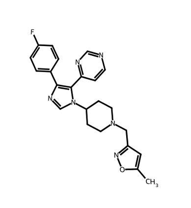 Cc1cc(CN2CCC(n3cnc(-c4ccc(F)cc4)c3-c3ccncn3)CC2)no1